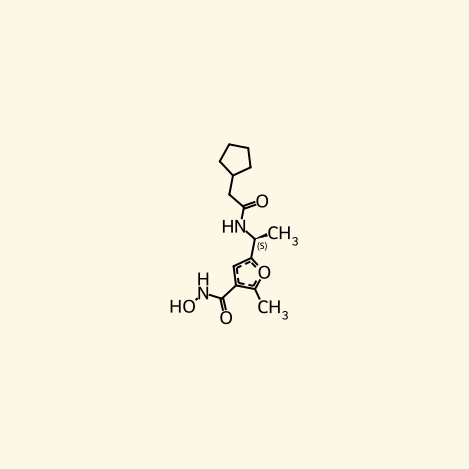 Cc1oc([C@H](C)NC(=O)CC2CCCC2)cc1C(=O)NO